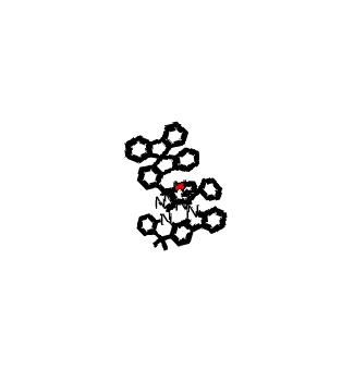 CC1(C)c2ccccc2N(c2nc(-c3ccccc3)nc(-c3cccc4c3-c3ccccc3C43c4ccccc4-c4ccccc43)n2)c2c1ccc1c3ccccc3n(-c3ccccc3)c21